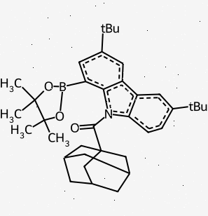 CC(C)(C)c1ccc2c(c1)c1cc(C(C)(C)C)cc(B3OC(C)(C)C(C)(C)O3)c1n2C(=O)C12CC3CC(CC(C3)C1)C2